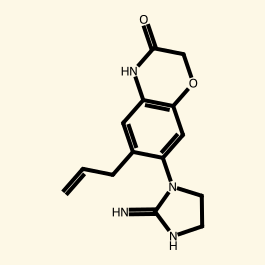 C=CCc1cc2c(cc1N1CCNC1=N)OCC(=O)N2